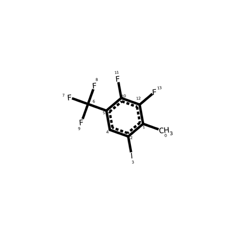 Cc1c(I)cc(C(F)(F)F)c(F)c1F